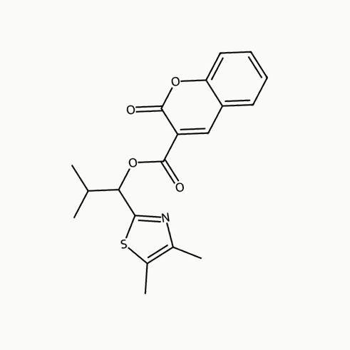 Cc1nc(C(OC(=O)c2cc3ccccc3oc2=O)C(C)C)sc1C